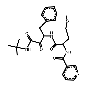 COCCC(NC(=O)c1cccnc1)C(=O)NC(Cc1ccccc1)C(=O)C(=O)NC(C)(C)C